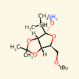 C[SiH](C)[C@@]1(ON)O[C@@H](COC(C)(C)C)[C@@H]2OC(C)(C)O[C@@H]21